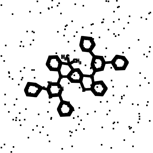 CC1(C)c2ccccc2N(c2nc(-c3ccccc3)nc(-c3ccccc3)n2)c2cc3c(cc21)N(c1cc(-c2ccccc2)cc(-c2ccccc2)c1)c1ccccc1S3